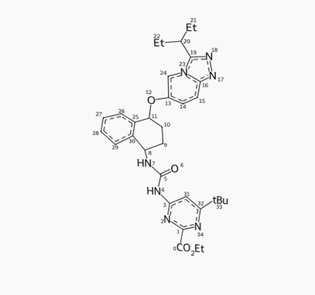 CCOC(=O)c1nc(NC(=O)NC2CCC(Oc3ccc4nnc(C(CC)CC)n4c3)c3ccccc32)cc(C(C)(C)C)n1